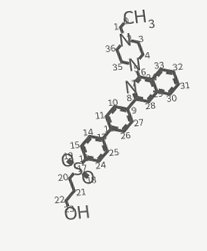 CCN1CCN(c2nc(-c3ccc(-c4ccc(S(=O)(=O)CCCO)cc4)cc3)cc3ccccc23)CC1